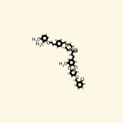 Cc1cccc(OCCc2ccc(CN3CCN(C(=O)/C=C/c4cc(C)c(Oc5ccc(OCc6ccccc6Cl)cn5)c(Cl)c4)CC3)cc2)c1C.Cl